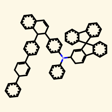 C1=CC(c2ccccc2)CC=C1c1ccc(C2c3ccccc3C=CC2c2ccc(N(c3ccccc3)C3C=C4C(=CC3)c3ccccc3C43c4ccccc4-c4ccccc43)cc2)cc1